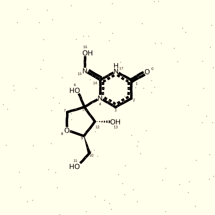 O=c1ccn(C2(O)CO[C@H](CO)[C@H]2O)/c(=N/O)[nH]1